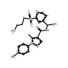 CCCC(NC(=O)c1cnn(-c2ccc(Cl)cc2)c1C)c1ccnc(S(=O)(=O)CCCO)c1